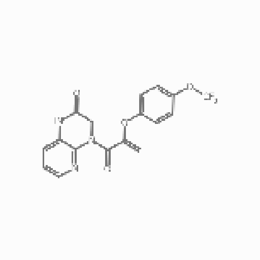 C=C(Oc1ccc(OC(F)(F)F)cc1)C(=O)N1CC(=O)Nc2cccnc21